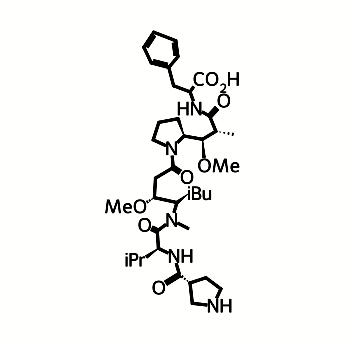 CC[C@H](C)C([C@@H](CC(=O)N1CCC[C@H]1[C@H](OC)[C@@H](C)C(=O)NC(Cc1ccccc1)C(=O)O)OC)N(C)C(=O)[C@@H](NC(=O)[C@@H]1CCNC1)C(C)C